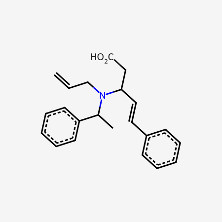 C=CCN(C(C=Cc1ccccc1)CC(=O)O)C(C)c1ccccc1